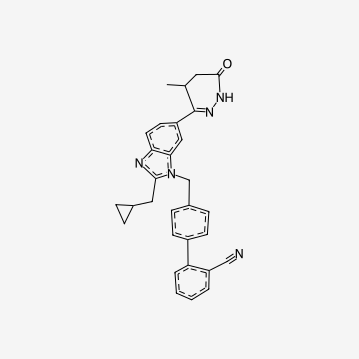 CC1CC(=O)NN=C1c1ccc2nc(CC3CC3)n(Cc3ccc(-c4ccccc4C#N)cc3)c2c1